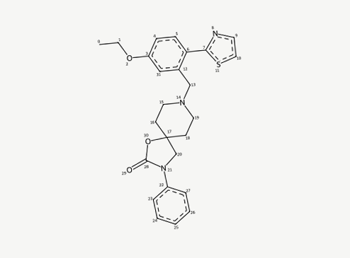 CCOc1ccc(-c2nccs2)c(CN2CCC3(CC2)CN(c2ccccc2)C(=O)O3)c1